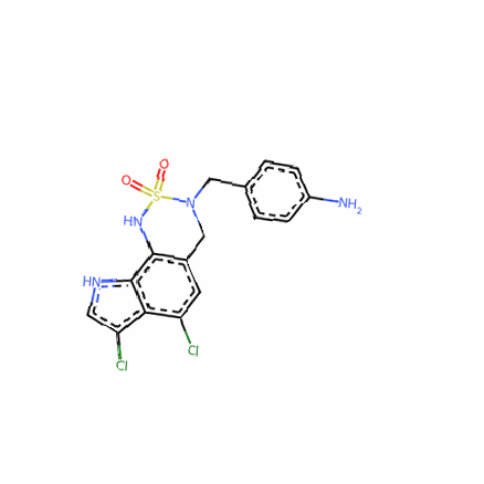 Nc1ccc(CN2Cc3cc(Cl)c4c(Cl)c[nH]c4c3NS2(=O)=O)cc1